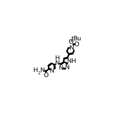 CC(C)(C)OC(=O)N1CC=C(c2cc3c(Nc4ccc(C(N)=O)nc4)ncnc3[nH]2)CC1